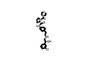 O=C(Nc1ccc(CCNC[C@H](O)c2cccc(Cl)c2)cc1)[C@@H]1CCCN1C(=O)N1CCOCC1